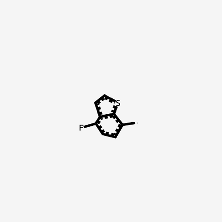 [CH2]c1ccc(F)c2ccsc12